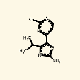 CC(C)c1nc(N)sc1-c1ccnc(Cl)n1